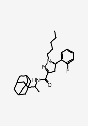 CCCCCN1N=C(C(=O)NC(C)C23CC4CC(CC(C4)C2)C3)CC1c1ccccc1F